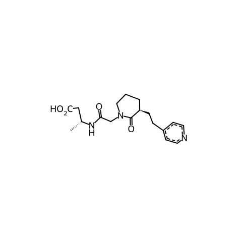 C[C@H](CC(=O)O)NC(=O)CN1CCC[C@@H](CCc2ccncc2)C1=O